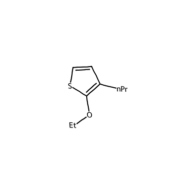 CCCc1ccsc1OCC